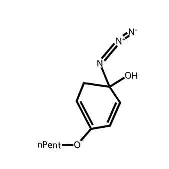 CCCCCOC1=CCC(O)(N=[N+]=[N-])C=C1